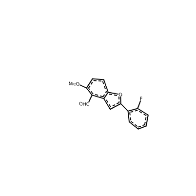 COc1ccc2oc(-c3ccccc3F)cc2c1C=O